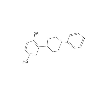 Oc1ccc(O)c(C2CCC(c3ccccc3)CC2)c1